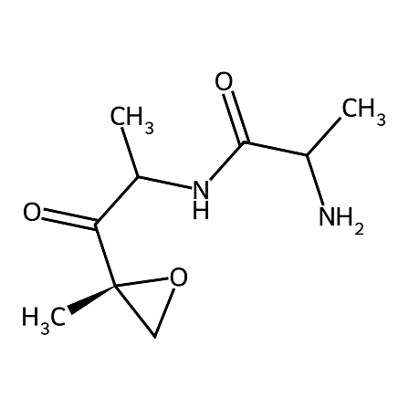 CC(N)C(=O)NC(C)C(=O)[C@@]1(C)CO1